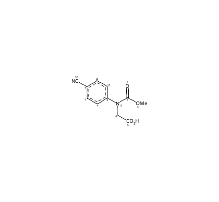 COC(=O)N(CC(=O)O)c1ccc(C#N)cc1